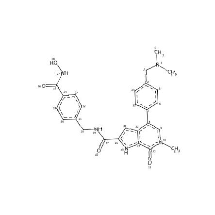 CN(C)Cc1ccc(-c2cn(C)c(=O)c3[nH]c(C(=O)NCc4ccc(C(=O)NO)cc4)cc23)cc1